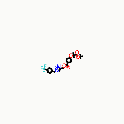 CC(C)(C)OC(=O)C(C)(C)Oc1ccc(C(=O)OCc2cn(Cc3ccc(C(F)(F)F)cc3)nn2)cc1